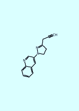 C#CCC1=NN(c2cnc3ccccc3c2)CC1